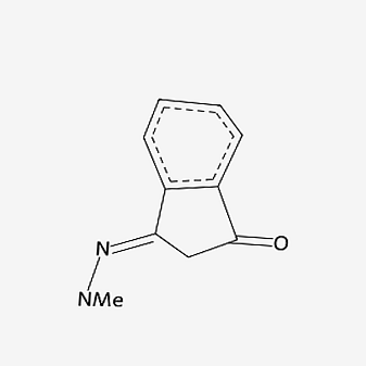 CNN=C1CC(=O)c2ccccc21